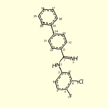 N=C(Nc1ccc(F)c(Cl)c1)c1ccc(-c2ccccc2)cc1